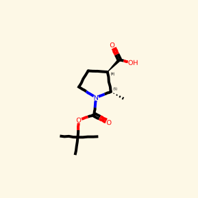 C[C@H]1[C@H](C(=O)O)CCN1C(=O)OC(C)(C)C